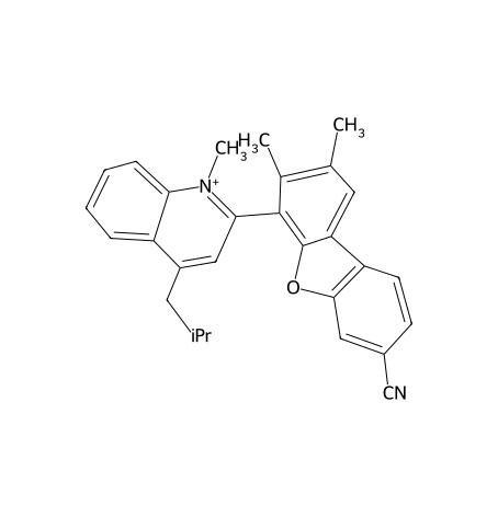 Cc1cc2c(oc3cc(C#N)ccc32)c(-c2cc(CC(C)C)c3ccccc3[n+]2C)c1C